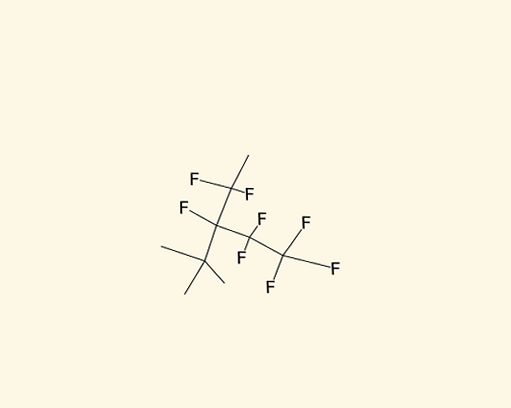 CC(C)(C)C(F)(C(C)(F)F)C(F)(F)C(F)(F)F